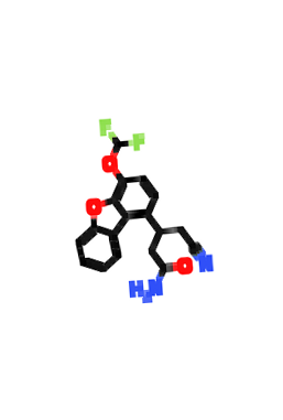 N#CCC(CC(N)=O)c1ccc(OC(F)F)c2oc3ccccc3c12